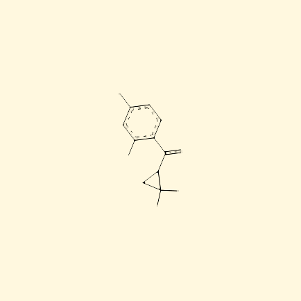 O=C(c1ccc(Cl)cc1Cl)C1CC1(F)F